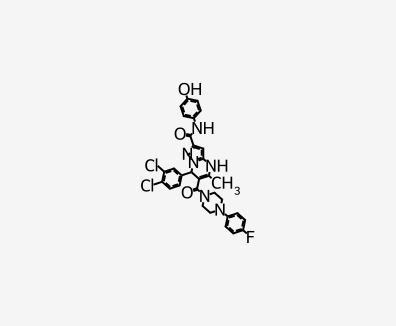 CC1=C(C(=O)N2CCN(c3ccc(F)cc3)CC2)C(c2ccc(Cl)c(Cl)c2)n2nc(C(=O)Nc3ccc(O)cc3)cc2N1